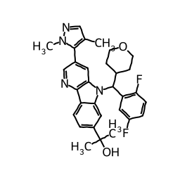 Cc1cnn(C)c1-c1cnc2c3ccc(C(C)(C)O)cc3n(C(c3cc(F)ccc3F)C3CCOCC3)c2c1